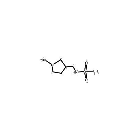 CC(C)(C)N1CCC(CNS(C)(=O)=O)C1